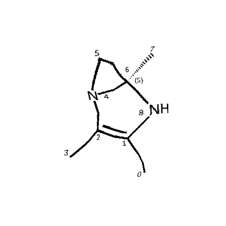 CC1=C(C)N2C[C@@]2(C)N1